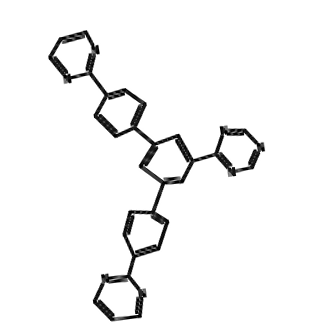 c1cnc(-c2ccc(-c3cc(-c4ccc(-c5ncccn5)cc4)cc(-c4ncncn4)c3)cc2)nc1